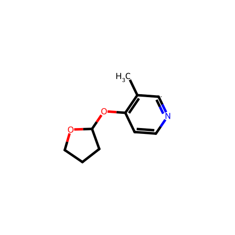 Cc1[c]nccc1OC1CCCO1